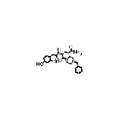 NC(=O)CC[C@H](NC(=O)Cc1ccc(O)cc1O)C(=O)N1CCN(Cc2ccccc2)CC1